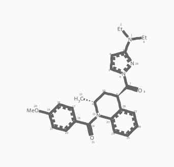 CCN(CC)c1ccn(C(=O)[C@@H]2C[C@@H](C)N(C(=O)c3ccc(OC)cc3)c3ccccc32)n1